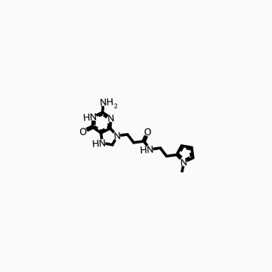 Cn1cccc1CCNC(=O)CCN1CNc2c1nc(N)[nH]c2=O